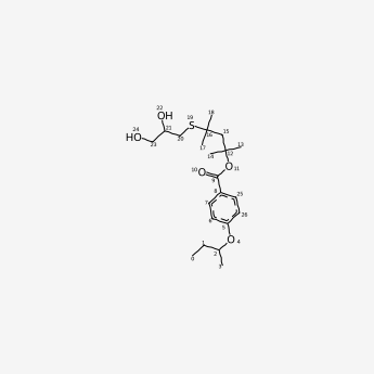 CCC(C)Oc1ccc(C(=O)OC(C)(C)CC(C)(C)SCC(O)CO)cc1